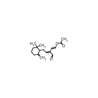 C=C1CCCC(C)(C)C1C/C=C(C=O)\C=C\OC(C)=O